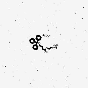 CS(=O)(=O)O.CS(=O)(=O)OCCOC(O)CCCOC(c1ccccc1)(c1ccccc1)c1ccccc1